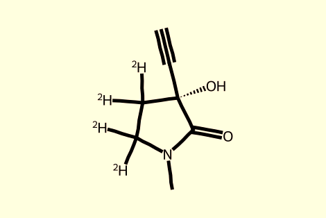 [2H]C1([2H])N(C)C(=O)[C@](O)(C#C)C1([2H])[2H]